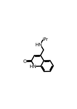 CC(C)NCc1cc(=O)[nH]c2ccccc12